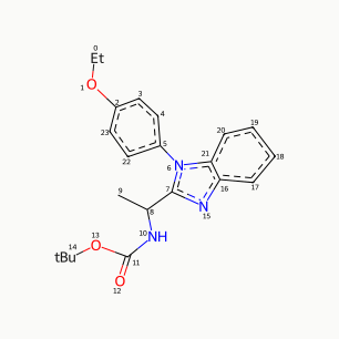 CCOc1ccc(-n2c(C(C)NC(=O)OC(C)(C)C)nc3ccccc32)cc1